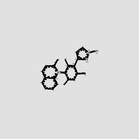 Cc1cc(C)c(-[n+]2c(C)ccc3ccccc32)c(C)c1-c1ccn(C(C)C)n1